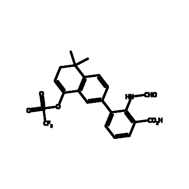 CC1(C)CC=C(OS(=O)(=O)C(F)(F)F)c2cc(-c3cccc(C(=O)O)c3NC=O)ccc21